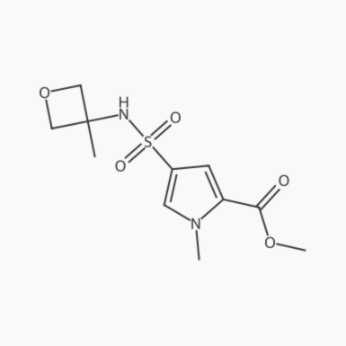 COC(=O)c1cc(S(=O)(=O)NC2(C)COC2)cn1C